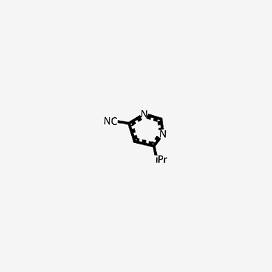 CC(C)c1cc(C#N)ncn1